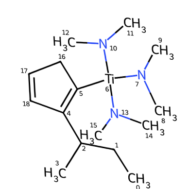 CCC(C)C1=[C]([Ti]([N](C)C)([N](C)C)[N](C)C)CC=C1